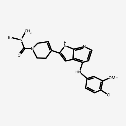 CCN(C)C(=O)N1CC=C(c2cc3c(Nc4ccc(Cl)c(OC)c4)ccnc3[nH]2)CC1